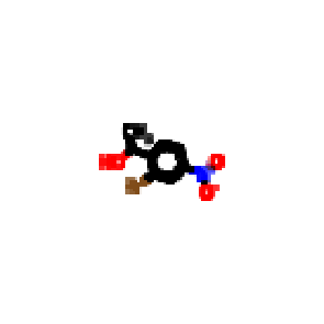 CC(O)c1ccc([N+](=O)[O-])cc1Br